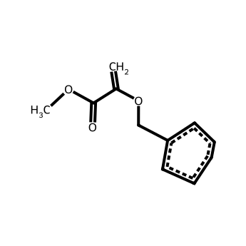 C=C(OCc1ccccc1)C(=O)OC